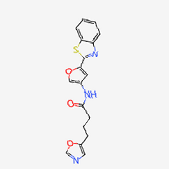 O=C(CCCc1cnco1)Nc1coc(-c2nc3ccccc3s2)c1